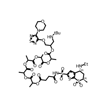 CCN[C@@H]1C[C@@H](C)S(=O)(=O)c2sc(S(=O)(=O)NC(=O)CCC(=O)OC(C)C(=O)OC(C)C(=O)OC(C)C(=O)OC(C)C(=O)OC(C)C(=O)OC(CNC(C)(C)C)COc3nsnc3N3CCOCC3)cc21